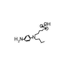 CCCCN(CCCCS(=O)(=O)O)c1ccc(N)cc1